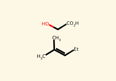 CCC=C(C)C.O=C(O)CO